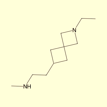 CCN1CC2(CC(CCNC)C2)C1